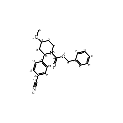 COC1CCN(C(=O)OCc2ccccc2)C(c2ccc(C#N)cc2)C1